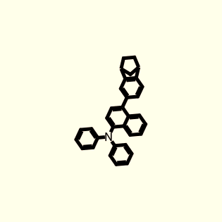 c1ccc(N(c2ccccc2)c2ccc(-c3ccc4c(c3)C3CCC4C3)c3ccccc23)cc1